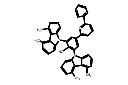 Cc1cccc2c1c1c(C)cccc1n2-c1cc(-c2cccc(-c3ccccc3)n2)cc(-n2c3cccc(C)c3c3c(C)cccc32)c1C#N